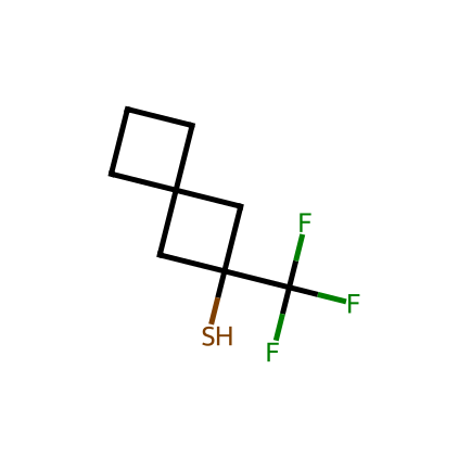 FC(F)(F)C1(S)CC2(CCC2)C1